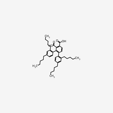 CCCCCc1ccc(-c2ccc(C(=O)O)c(C(=O)O)c2-c2ccc(CCCCC)cc2CCCCC)c(CCCCC)c1